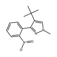 Cn1cc(C(C)(C)C)c(-c2ccccc2[N+](=O)[O-])n1